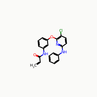 C=CC(=O)Nc1cccc(Oc2nc(Nc3ccccc3)ccc2Cl)c1